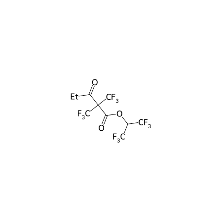 CCC(=O)C(C(=O)OC(C(F)(F)F)C(F)(F)F)(C(F)(F)F)C(F)(F)F